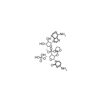 Nc1ccn([C@@H]2O[C@H](COP(=O)(O)O)[C@@H](P(=O)(O)OC[C@H]3O[C@@H](n4cnc5c(N)ncnc54)[C@H](O)[C@@H]3O)[C@H]2OC2CCCO2)c(=O)n1